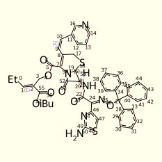 CC/C=C(\COC(=O)C1=C(/C=C\c2cccnc2)CS[C@H]2[C@H](NC(=O)C(=NOC(c3ccccc3)(c3ccccc3)c3ccccc3)c3csc(N)n3)C(=O)N12)C(=O)OCC(C)C